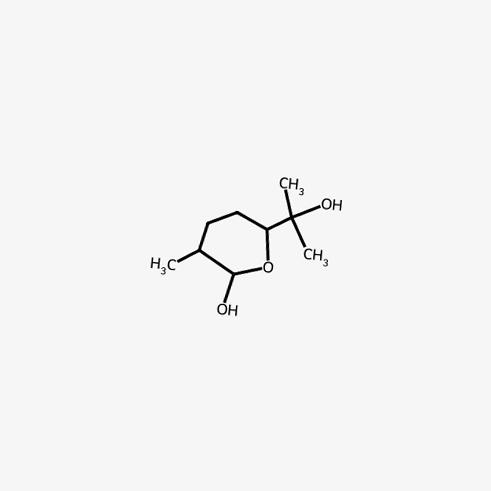 CC1CCC(C(C)(C)O)OC1O